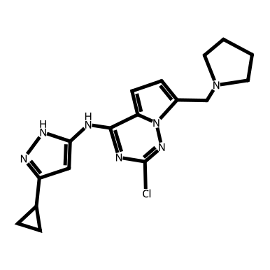 Clc1nc(Nc2cc(C3CC3)n[nH]2)c2ccc(CN3CCCC3)n2n1